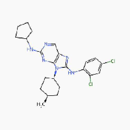 C[C@H]1CC[C@@H](n2c(Nc3ccc(Cl)cc3Cl)nc3cnc(NC4CCCC4)nc32)CC1